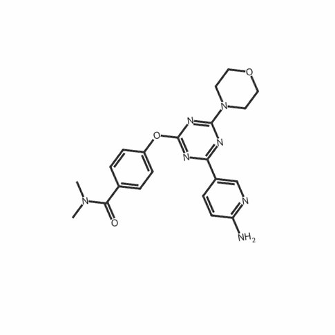 CN(C)C(=O)c1ccc(Oc2nc(-c3ccc(N)nc3)nc(N3CCOCC3)n2)cc1